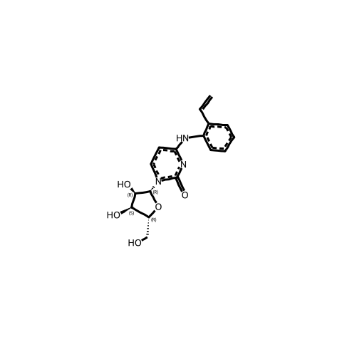 C=Cc1ccccc1Nc1ccn([C@@H]2O[C@H](CO)[C@@H](O)[C@H]2O)c(=O)n1